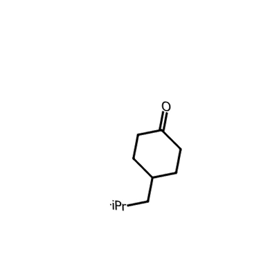 C[C](C)CC1CCC(=O)CC1